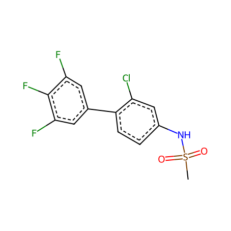 CS(=O)(=O)Nc1ccc(-c2cc(F)c(F)c(F)c2)c(Cl)c1